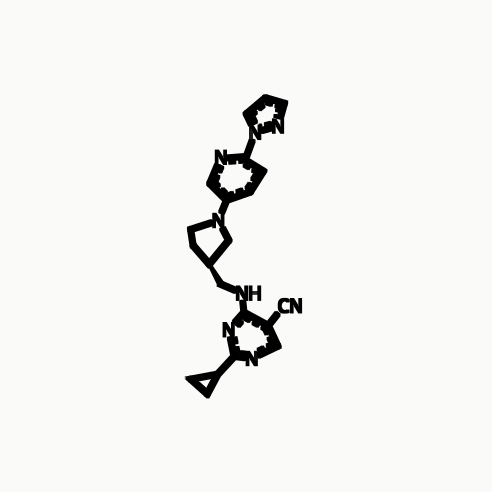 N#Cc1cnc(C2CC2)nc1NC[C@H]1CCN(c2ccc(-n3cccn3)nc2)C1